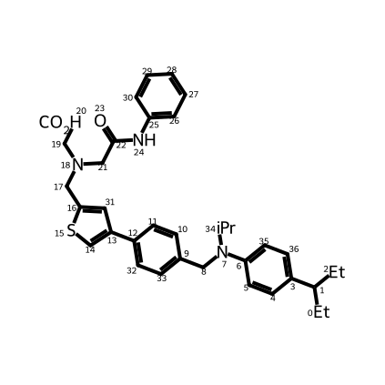 CCC(CC)c1ccc(N(Cc2ccc(-c3csc(CN(CC(=O)O)CC(=O)Nc4ccccc4)c3)cc2)C(C)C)cc1